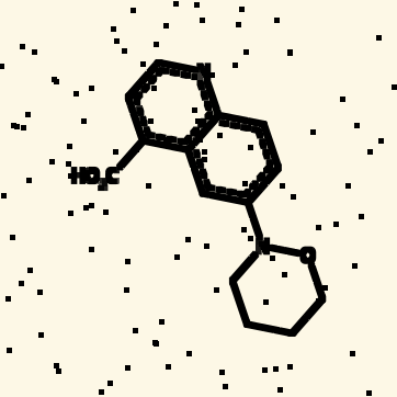 O=C(O)c1ccnc2ccc(N3CCCCO3)cc12